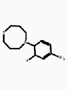 NC1=CC(F)C(N2CCCSCCC2)C=C1